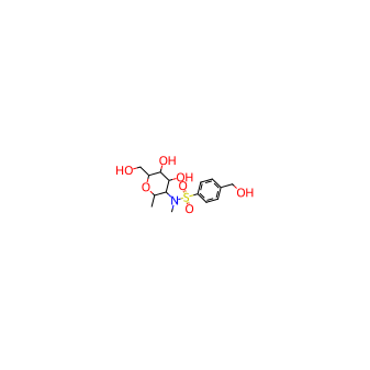 CC1OC(CO)C(O)C(O)C1N(C)S(=O)(=O)c1ccc(CO)cc1